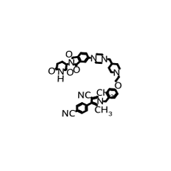 Cc1c(C#N)c(-c2ccc(C#N)cc2)c(C)n1Cc1ccc(OCCN2CCC(CN3CCN(c4ccc5c(c4)C(=O)N(C4CCC(=O)NC4=O)C5=O)CC3)CC2)cc1